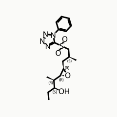 CC[C@H](O)[C@@H](C)[C@H]1O[C@@H]1C[C@H](C)CS(=O)(=O)c1nnnn1-c1ccccc1